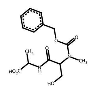 CC(NC(=O)C(CO)N(C)C(=O)OCc1ccccc1)C(=O)O